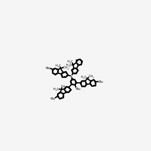 CC(C)(C)c1ccc2c(c1)C(C)(C)c1cc(-c3cc(N(c4ccc5c(c4)C(C)(C)c4ccccc4-5)c4ccc5c(c4)C(C)(C)c4cc(C(C)(C)C)ccc4-5)cc(-c4ccc5c(c4)C(C)(C)c4cc(C(C)(C)C)ccc4-5)c3C(C)(C)C)ccc1-2